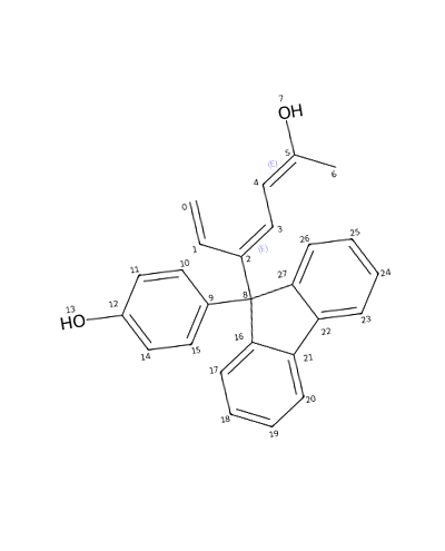 C=C/C(=C\C=C(/C)O)C1(c2ccc(O)cc2)c2ccccc2-c2ccccc21